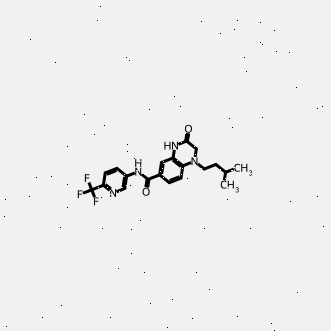 CC(C)CCN1CC(=O)Nc2cc(C(=O)Nc3ccc(C(F)(F)F)nc3)ccc21